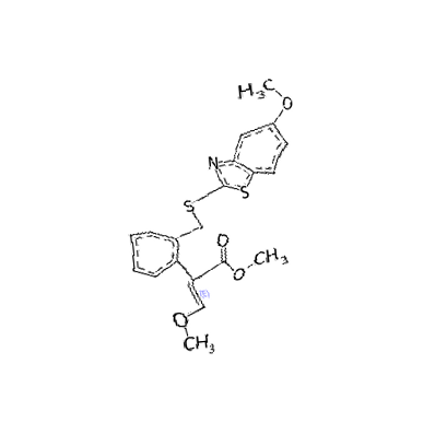 CO/C=C(/C(=O)OC)c1ccccc1CSc1nc2cc(OC)ccc2s1